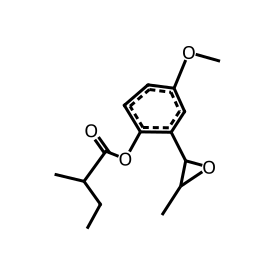 CCC(C)C(=O)Oc1ccc(OC)cc1C1OC1C